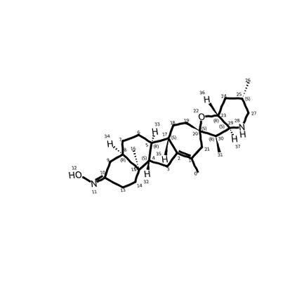 CC1=C2C[C@H]3[C@@H](CC[C@@H]4CC(=NO)CC[C@@]43C)[C@@H]2CC[C@@]2(C1)O[C@@H]1C[C@H](C)CN[C@H]1[C@H]2C